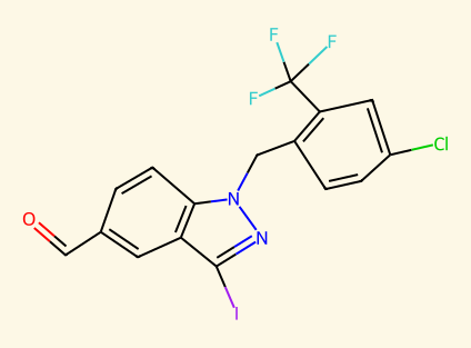 O=Cc1ccc2c(c1)c(I)nn2Cc1ccc(Cl)cc1C(F)(F)F